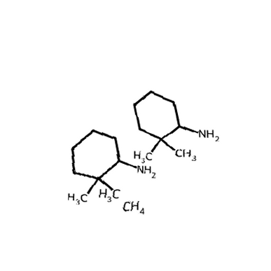 C.CC1(C)CCCCC1N.CC1(C)CCCCC1N